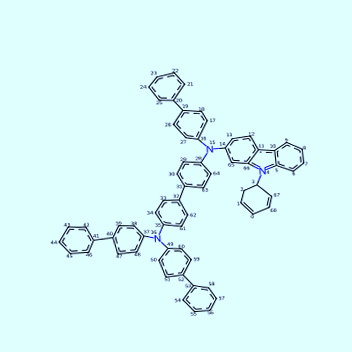 C1=CCC(n2c3ccccc3c3ccc(N(c4ccc(-c5ccccc5)cc4)c4ccc(-c5ccc(N(c6ccc(-c7ccccc7)cc6)c6ccc(-c7ccccc7)cc6)cc5)cc4)cc32)C=C1